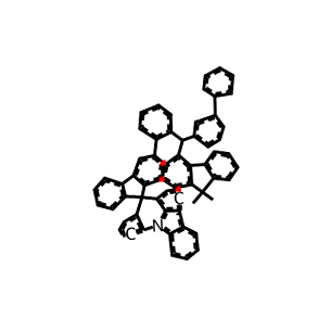 CC1(C)c2ccccc2-c2c(C(c3cccc(-c4ccccc4)c3)c3ccccc3-c3ccc4c(c3)-c3ccccc3C43c4ccccc4-n4c5ccccc5c5cccc3c54)cccc21